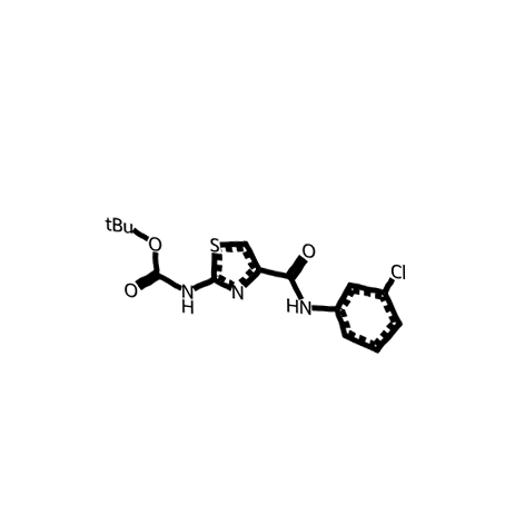 CC(C)(C)OC(=O)Nc1nc(C(=O)Nc2cccc(Cl)c2)cs1